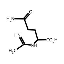 CC(=N)NC(CCC(N)=O)C(=O)O